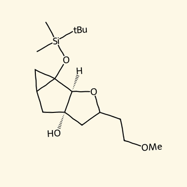 COCCC1C[C@@]2(O)CC3CC3(O[Si](C)(C)C(C)(C)C)[C@H]2O1